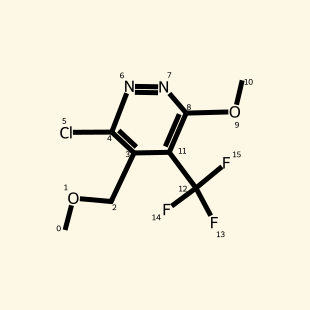 COCc1c(Cl)nnc(OC)c1C(F)(F)F